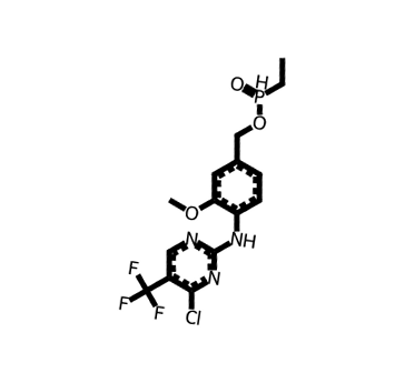 CC[PH](=O)OCc1ccc(Nc2ncc(C(F)(F)F)c(Cl)n2)c(OC)c1